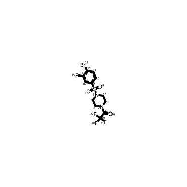 O=C(N1CCN(S(=O)(=O)c2ccc(Br)c(F)c2)CC1)C(F)(F)F